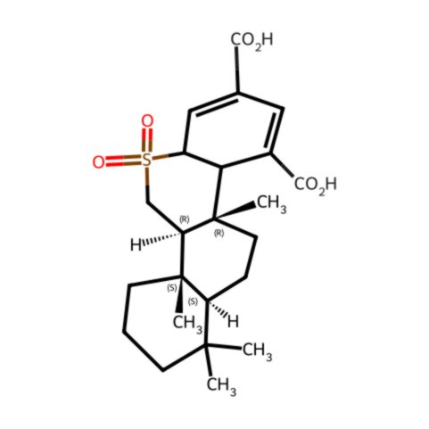 CC1(C)CCC[C@]2(C)[C@H]3CS(=O)(=O)C4C=C(C(=O)O)C=C(C(=O)O)C4[C@]3(C)CC[C@@H]12